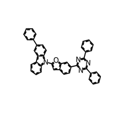 c1ccc(-c2ccc3c(c2)c2ccccc2n3-c2cc3ccc(-c4nc(-c5ccccc5)nc(-c5ccccc5)n4)cc3o2)cc1